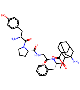 COC(=O)C12CC3CC(CC(N)(C3)C1C(=O)[C@H](Cc1ccccc1)NC(=O)CNC(=O)[C@@H]1CCCN1C(=O)[C@@H](N)Cc1ccc(O)cc1)C2